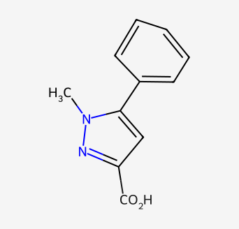 Cn1nc(C(=O)O)cc1-c1ccccc1